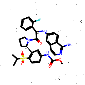 COC(=O)Nc1ccc(S(=O)(=O)C(C)C)c([C@H]2CCCN2C(=O)[C@H](Nc2ccc3c(N)nccc3c2)c2ccccc2F)c1